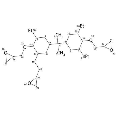 CCCC1CC(C(C)(C)C2CC(CC)C(OCC3CO3)C(CCC3CO3)C2)CC(CC)C1OCC1CO1